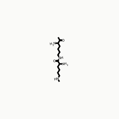 CNCCCCC(N)C(=O)NCCCCC(N)C(C)=O